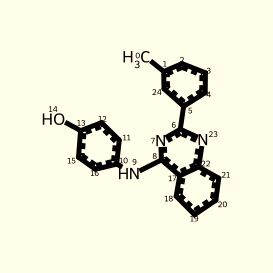 Cc1cccc(-c2nc(Nc3ccc(O)cc3)c3ccccc3n2)c1